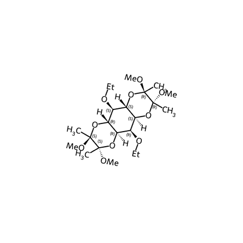 CCO[C@@H]1[C@H]2O[C@](C)(OC)[C@@](C)(OC)O[C@@H]2[C@H](OCC)[C@@H]2O[C@@](C)(OC)[C@](C)(OC)O[C@@H]12